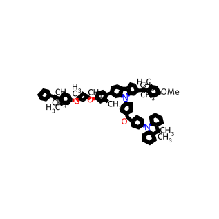 COc1ccc(C(C)(C)c2ccc3c4ccc(-c5ccc(OC6(C)CC(C)(Oc7ccc(C(C)(C)c8ccccc8)c(C)c7)C6)cc5C)cc4n(-c4ccc(C(=O)c5ccc(N6c7ccccc7C(C)(C)c7ccccc76)cc5)cc4)c3c2)c(C)c1